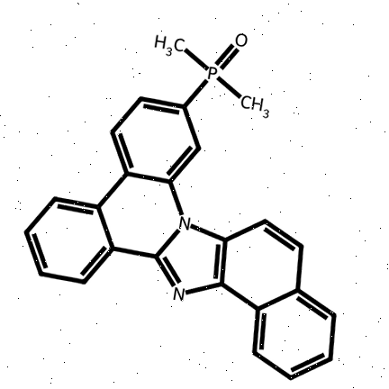 CP(C)(=O)c1ccc2c3ccccc3c3nc4c5ccccc5ccc4n3c2c1